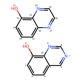 Oc1cccc2cncnc12.Oc1cccc2nccnc12